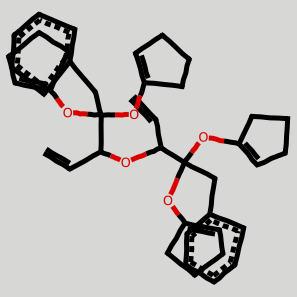 C=CC(OC(C=C)C(Cc1ccccc1)(OC1=CCCC1)OC1=CCCC1)C(Cc1ccccc1)(OC1=CCCC1)OC1=CCCC1